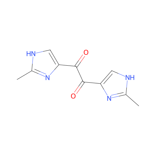 Cc1nc(C(=O)C(=O)c2c[nH]c(C)n2)c[nH]1